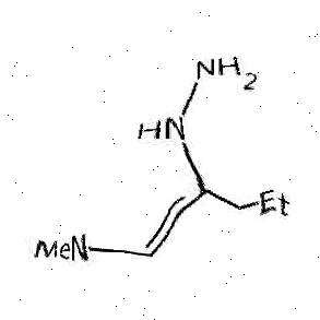 CC/C(=C/NC)NN